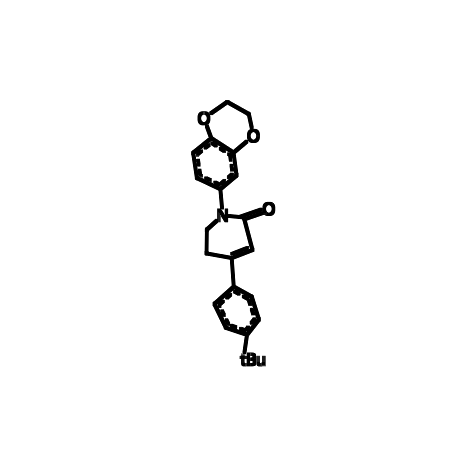 CC(C)(C)c1ccc(C2=CC(=O)N(c3ccc4c(c3)OCCO4)CC2)cc1